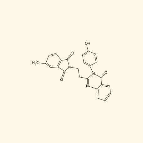 Cc1ccc2c(c1)C(=O)N(CCc1nc3ccccc3c(=O)n1-c1ccc(O)cc1)C2=O